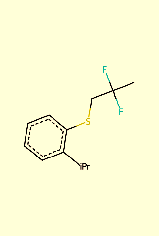 CC(C)c1ccccc1SCC(C)(F)F